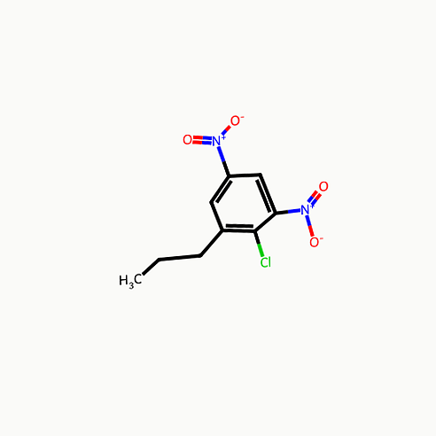 CCCc1cc([N+](=O)[O-])cc([N+](=O)[O-])c1Cl